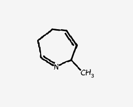 CC1C=CCCC=N1